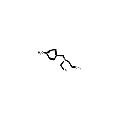 C=CCN(Cc1ccc(C)cc1)CC(C)C